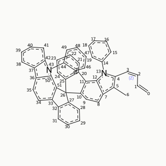 C=C/C=C\c1c(C)c2ccc3c(c2n1-c1ccccc1)-c1ccccc1C31c2ccccc2-c2ccc3c4ccccc4n(-c4ccccc4)c3c21